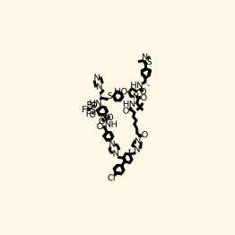 Cc1ncsc1-c1ccc([C@H](C)NC(=O)[C@@H]2C[C@@H](O)CN2C(=O)[C@@H](NC(=O)CCCCCCC(=O)N2CCN(C[C@]3(C)CCC(c4ccc(Cl)cc4)=C(CN4CCN(c5ccc(C(=O)NS(=O)(=O)c6ccc(N[C@H](CCN7CCN(C)CC7)CSc7ccccc7)c(S(=O)(=O)C(F)(F)F)c6)cc5)CC4)C3)CC2)C(C)(C)C)cc1